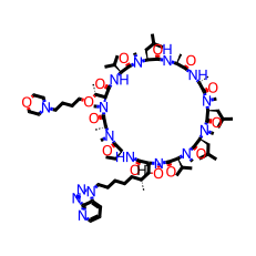 CC[C@@H]1NC(=O)[C@@H]2[C@@H]([C@H](C)CCCCCn3nnc4ncccc43)ON2C(=O)[C@H](C(C)C)N(C)C(=O)[C@H](CC(C)C)N(C)C(=O)[C@H](CC(C)C)N(C)C(=O)[C@@H](C)NC(=O)[C@H](C)NC(=O)[C@H](CC(C)C)N(C)C(=O)[C@H](C(C)C)NC(=O)[C@H]([C@@H](C)OCCCCN2CCOCC2)N(C)C(=O)[C@@H](C)N(C)C1=O